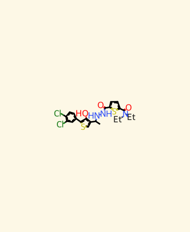 CCN(CC)C(=O)c1ccc(C(=O)NNC(C)c2csc(-c3ccc(Cl)c(Cl)c3)c2O)s1